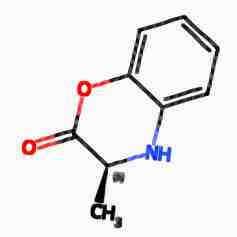 C[C@@H]1Nc2ccccc2OC1=O